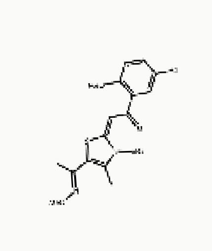 CCCCN1C(=CC(=O)c2cc(Cl)ccc2OC)SC(C(C)=NOC)=C1C